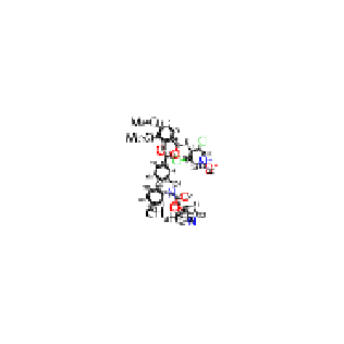 COc1ccc(C(Cc2c(Cl)c[n+]([O-])cc2Cl)OC(=O)c2cccc(CN(C(=O)O[C@H]3CN4CCC3CC4)c3cccc(C)c3)c2)cc1OC